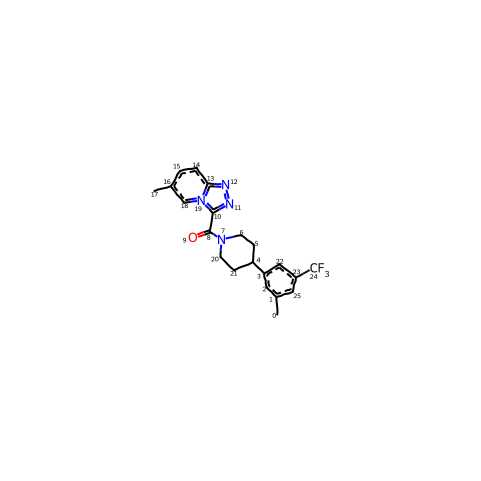 Cc1cc(C2CCN(C(=O)c3nnc4ccc(C)cn34)CC2)cc(C(F)(F)F)c1